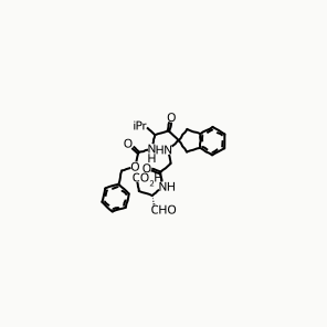 CC(C)C(NC(=O)OCc1ccccc1)C(=O)C1(NCC(=O)N[C@H](C=O)CC(=O)O)Cc2ccccc2C1